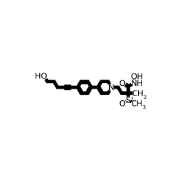 C[S+]([O-])C(C)(CCN1CC=C(c2ccc(C#CCCCO)cc2)CC1)C(=O)NO